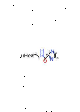 CCCCCCCCNC(=O)c1cnccn1